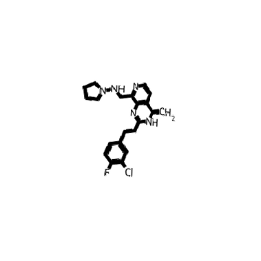 C=C1NC(CCc2ccc(F)c(Cl)c2)=Nc2c1ccnc2CNN1CCCC1